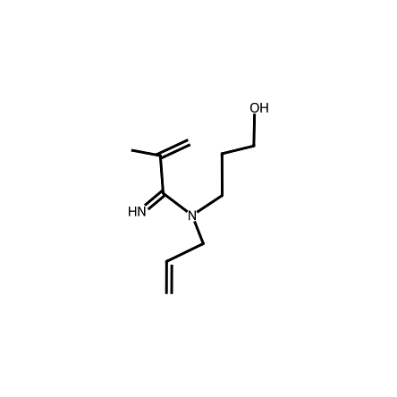 C=CCN(CCCO)C(=N)C(=C)C